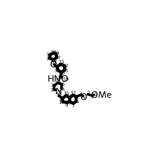 COCCOCc1ccc2ccc(CN3CCC(NC(=O)c4cccc(Oc5ccccc5)c4)CC3)cc2c1